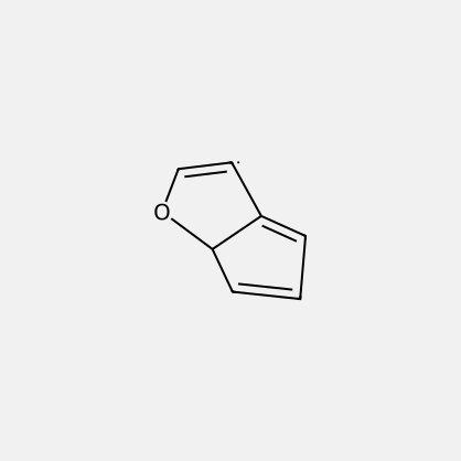 [C]1=COC2C=CC=C12